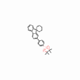 CC1(C)OB(c2ccc(-c3ccc4c(c3)C3(CCCCC3)c3ccccc3-4)cc2)OC1(C)C